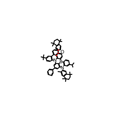 Cc1cc2c(cc1N1c3cc(C(C)C)ccc3B3c4cc5oc6cc7c(cc6c5cc4N(c4ccc(C(C)(C)C)cc4-c4ccccc4)c4cc(-c5ccccc5)cc1c43)C(C)(C)CCC7(C)C)C(C)(C)CCC2(C)C